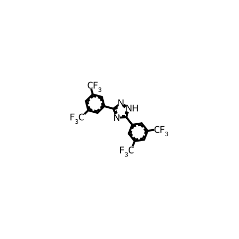 FC(F)(F)c1cc(-c2n[nH]c(-c3cc(C(F)(F)F)cc(C(F)(F)F)c3)n2)cc(C(F)(F)F)c1